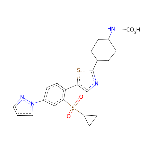 O=C(O)NC1CCC(c2ncc(-c3ccc(-n4cccn4)cc3S(=O)(=O)C3CC3)s2)CC1